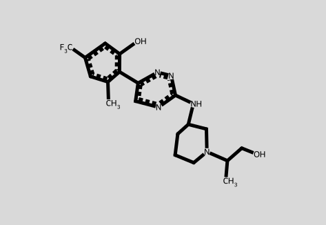 Cc1cc(C(F)(F)F)cc(O)c1-c1cnc(NC2CCCN(C(C)CO)C2)nn1